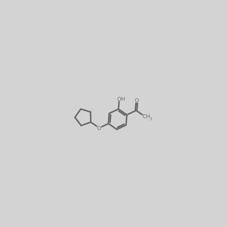 CC(=O)c1ccc(OC2CCCC2)cc1O